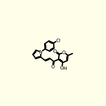 Cc1cc(O)c(C(=O)C=Cc2cccn2-c2ccc(Cl)cc2)c(=O)o1